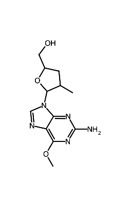 COc1nc(N)nc2c1ncn2C1OC(CO)CC1C